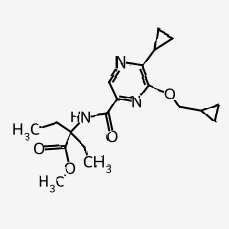 CCC(CC)(NC(=O)c1cnc(C2CC2)c(OCC2CC2)n1)C(=O)OC